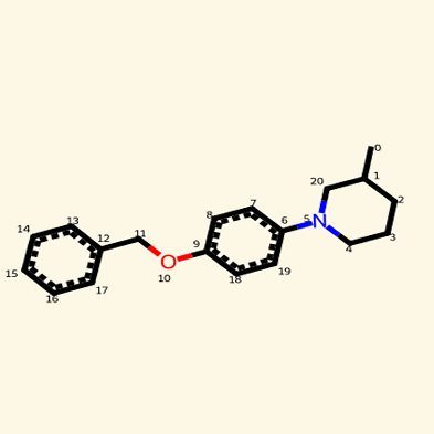 CC1CCCN(c2ccc(OCc3ccccc3)cc2)C1